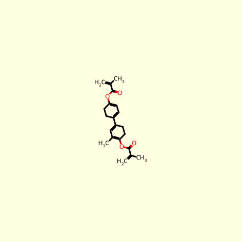 C=C(C)C(=O)OC1=CC=C(C2=CC(C)=C(OC(=O)C(=C)C)CC2)CC1